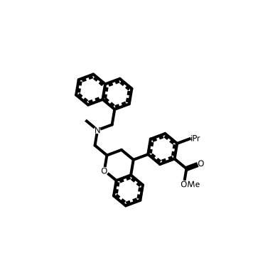 COC(=O)c1cc(C2CC(CN(C)Cc3cccc4ccccc34)Oc3ccccc32)ccc1C(C)C